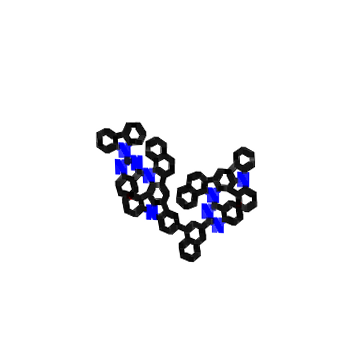 c1ccc2c(-c3ccc4c(c3)c3cc5c6ccc7ccccc7c6n(-c6nc(-n7c8ccccc8c8ccccc87)nc7ccccc67)c5c5c6ccccc6n4c35)cc(-c3nc(-n4c5c6ccccc6ccc5c5cc6c7ccccc7n7c8ccccc8c(c54)c67)c4ccccc4n3)cc2c1